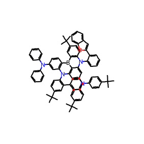 CC(C)(C)c1ccc(N(c2ccc(C(C)(C)C)cc2)c2cc3c4c(c2)N(c2ccccc2-c2cc5ccccc5o2)c2ccc(C(C)(C)C)cc2B4c2ccc(N(c4ccccc4)c4ccccc4)cc2N3c2ccc(C(C)(C)C)cc2-c2ccccc2)cc1